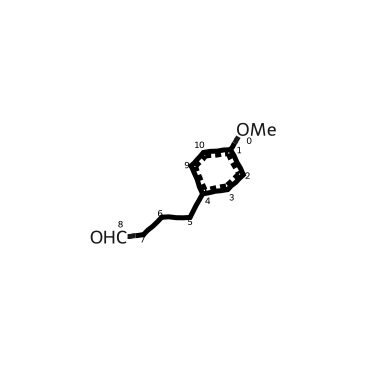 COc1ccc(CCCC=O)cc1